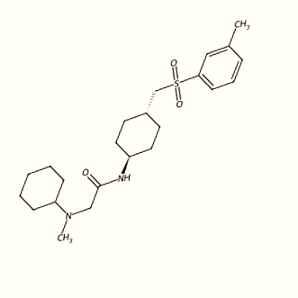 Cc1cccc(S(=O)(=O)C[C@H]2CC[C@H](NC(=O)CN(C)C3CCCCC3)CC2)c1